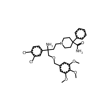 COc1cc(COCC(N)(CCN2CCC(C(N)=O)(c3ccccc3)CC2)c2ccc(Cl)c(Cl)c2)cc(OC)c1OC